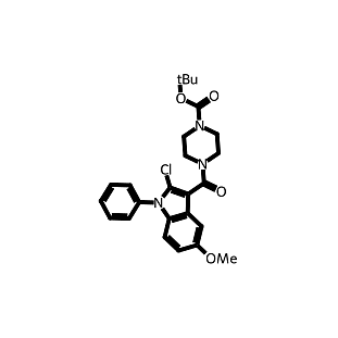 COc1ccc2c(c1)c(C(=O)N1CCN(C(=O)OC(C)(C)C)CC1)c(Cl)n2-c1ccccc1